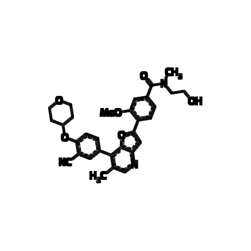 COc1cc(C(=O)N(C)CCO)ccc1-c1cc2ncc(C)c(-c3ccc(OC4CCOCC4)c(C#N)c3)c2o1